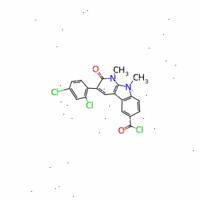 Cn1c(=O)c(-c2ccc(Cl)cc2Cl)cc2c3cc(C(=O)Cl)ccc3n(C)c21